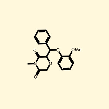 COc1ccccc1OC(c1ccccc1)C1OCC(=O)N(C)C1=O